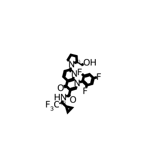 O=C(N[C@@H](C1CC1)C(F)(F)F)c1cn(-c2c(F)cc(F)cc2F)c2nc(N3CCC[C@H]3CO)ccc2c1=O